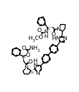 COC(=O)N[C@@H](CC(=O)N1CCCC1c1ncc(-c2ccc(-c3ccc(-c4cnc([C@@H]5CCCN5C(=O)C[C@H](OC(N)=O)c5ccccc5)[nH]4)cc3)cc2)[nH]1)c1ccccc1